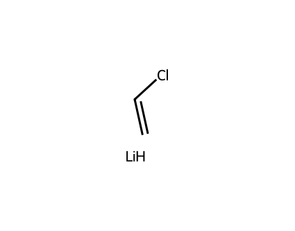 C=CCl.[LiH]